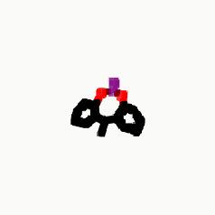 CC1c2ccccc2OPOc2ccccc21